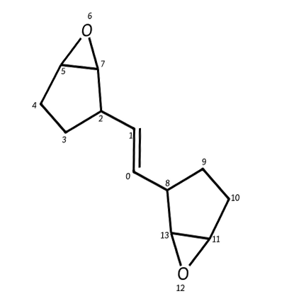 C(=CC1CCC2OC12)C1CCC2OC12